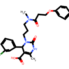 CC1=C(C(=O)O)C(c2cccc(Cl)c2)N(CCCN(C)C(=O)CCOc2ccccc2)C(=O)N1